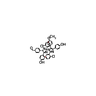 COc1ccc(-c2c(-c3ccc(O)cc3)nc(-c3ccccc3Cl)n2C2(c3ccccc3Cl)N=C(C3=CCC(C=O)C=C3)C(c3ccc(O)cc3)=N2)cc1